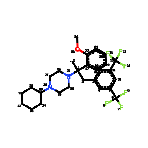 [CH2]C(Cc1cc(C(F)(F)F)cc(C(F)(F)F)c1)(c1ccccc1OC)N1CCN(C2CCCCC2)CC1